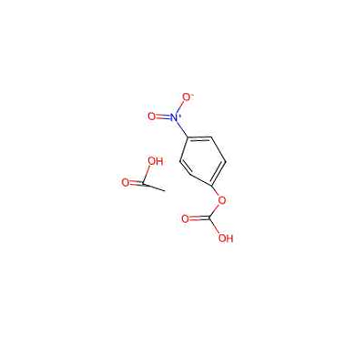 CC(=O)O.O=C(O)Oc1ccc([N+](=O)[O-])cc1